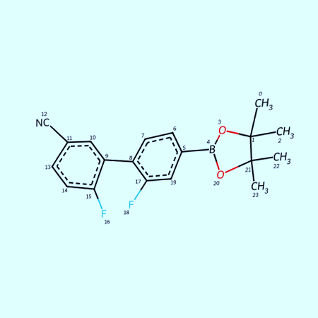 CC1(C)OB(c2ccc(-c3cc(C#N)ccc3F)c(F)c2)OC1(C)C